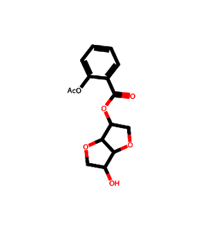 CC(=O)Oc1ccccc1C(=O)OC1COC2C(O)COC12